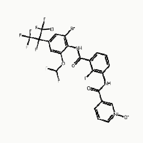 O=C(Nc1cccc(C(=O)Nc2c(Br)cc(C(F)(C(F)(F)F)C(F)(F)Cl)cc2OC(F)F)c1F)c1ccc[n+]([O-])c1